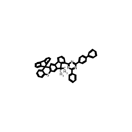 CC1(C)c2cc3c(cc2-c2cccc(-c4nc(-c5ccccc5)nc(-c5ccc(-c6ccccc6)cc5)n4)c21)C1(c2ccccc2S3)c2ccccc2-c2ccccc21